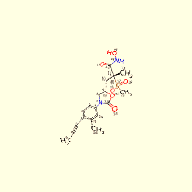 CC#Cc1ccc(N2C[C@H](C[C@](C)(C(=O)NO)S(C)(=O)=O)OC2=O)cc1C